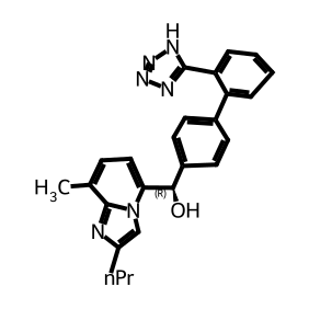 CCCc1cn2c([C@H](O)c3ccc(-c4ccccc4-c4nnn[nH]4)cc3)ccc(C)c2n1